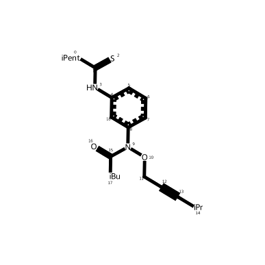 CCCC(C)C(=S)Nc1cccc(N(OCC#CC(C)C)C(=O)C(C)CC)c1